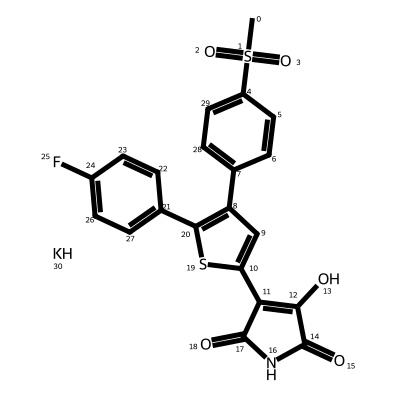 CS(=O)(=O)c1ccc(-c2cc(C3=C(O)C(=O)NC3=O)sc2-c2ccc(F)cc2)cc1.[KH]